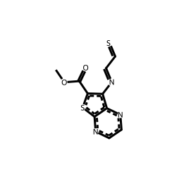 COC(=O)c1sc2nccnc2c1N=CC=S